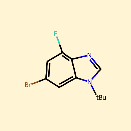 CC(C)(C)n1cnc2c(F)cc(Br)cc21